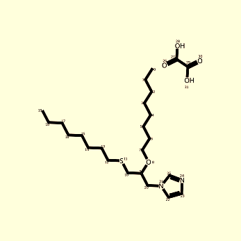 CCCCCCCCOC(CSCCCCCCCC)Cn1ccnc1.O=C(O)C(=O)O